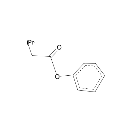 C[C](C)CC(=O)Oc1ccccc1